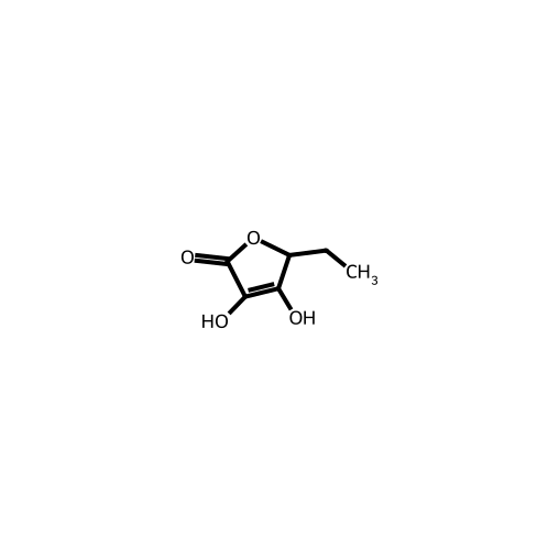 CCC1OC(=O)C(O)=C1O